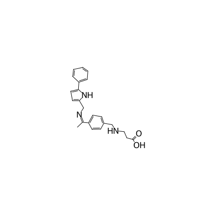 CC(=NCc1ccc(-c2ccccc2)[nH]1)c1ccc(CNCCC(=O)O)cc1